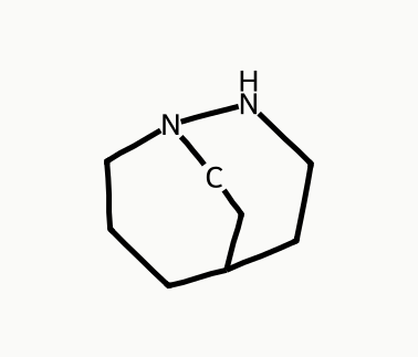 C1CC2CCNN(C1)CC2